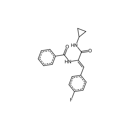 O=C(NC1CC1)/C(=C/c1ccc(F)cc1)NC(=O)c1ccccc1